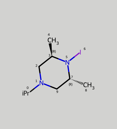 CC(C)N1C[C@@H](C)N(I)[C@H](C)C1